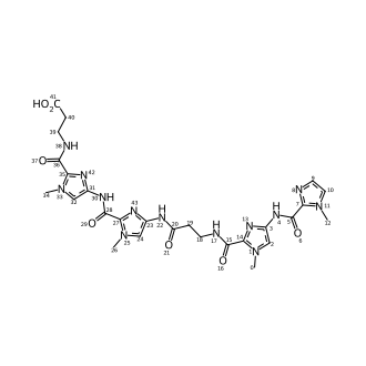 Cn1cc(NC(=O)c2nccn2C)nc1C(=O)NCCC(=O)Nc1cn(C)c(C(=O)Nc2cn(C)c(C(=O)NCCC(=O)O)n2)n1